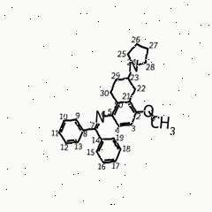 COc1ccc(N=C(c2ccccc2)c2ccccc2)c2c1CC(N1CCCC1)CC2